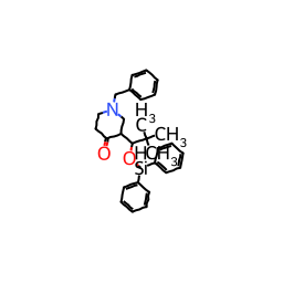 CC(C)(C)C(O[SiH](c1ccccc1)c1ccccc1)C1CN(Cc2ccccc2)CCC1=O